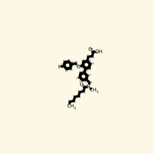 CCCCCCCC(=O)N(C)Cc1cccc(-c2ccc(CCC(=O)O)cc2OCc2ccc(F)cc2)c1